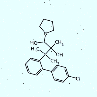 CC(C)(c1ccccc1-c1ccc(Cl)cc1)C(C)(O)C(O)N1CCCC1